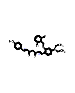 CCN(CC)c1ccc(/C=C/C(=O)CC(=O)/C=C/c2ccc(O)cc2)c(OCc2c(F)cccc2Cl)c1